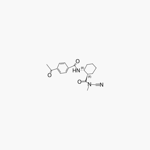 CC(=O)c1ccc(C(=O)N[C@@H]2CCCC[C@H]2C(=O)N(C)C#N)cc1